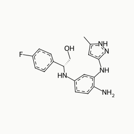 Cc1cc(Nc2cc(N[C@@H](CO)c3ccc(F)cc3)ccc2N)n[nH]1